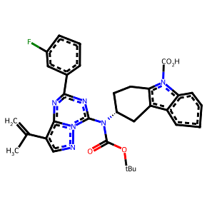 C=C(C)c1cnn2c(N(C(=O)OC(C)(C)C)[C@@H]3CCc4c(c5ccccc5n4C(=O)O)C3)nc(-c3cccc(F)c3)nc12